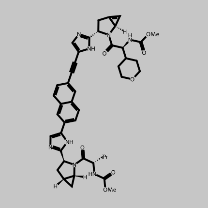 COC(=O)N[C@H](C(=O)N1[C@@H]2C[C@@H]2C[C@H]1c1ncc(-c2ccc3cc(C#Cc4cnc([C@@H]5CC6=C[C@H]6N5C(=O)[C@@H](NC(=O)OC)C5CCOCC5)[nH]4)ccc3c2)[nH]1)C(C)C